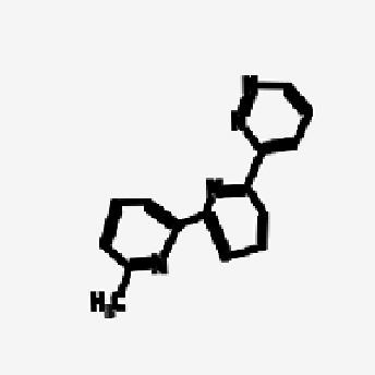 Cc1cccc(-c2cccc(-c3cccnn3)n2)n1